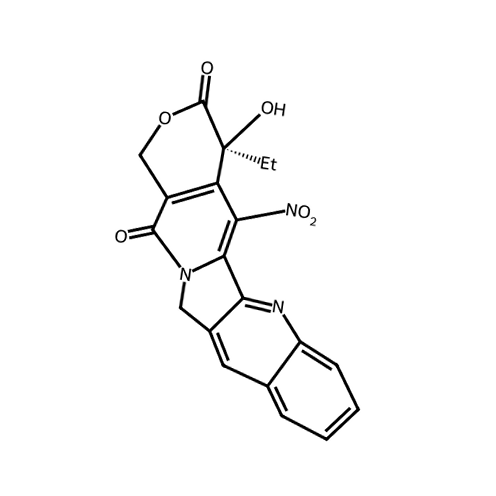 CC[C@@]1(O)C(=O)OCc2c1c([N+](=O)[O-])c1n(c2=O)Cc2cc3ccccc3nc2-1